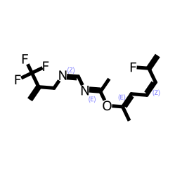 C=C(F)/C=C\C=C(/C)O/C(C)=N/C=N\CC(=C)C(F)(F)F